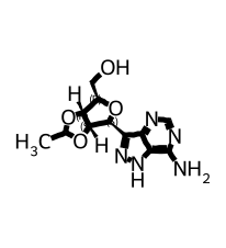 CC1O[C@@H]2[C@H](O1)[C@@H](CO)O[C@H]2c1n[nH]c2c(N)ncnc12